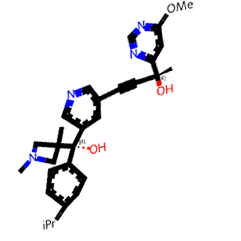 COc1cc([C@](C)(O)C#Cc2cncc([C@@](O)(c3ccc(C(C)C)cc3)C3(C)CN(C)C3)c2)ncn1